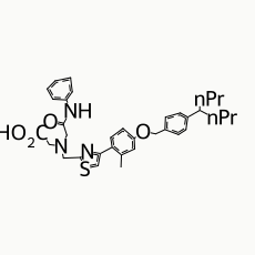 CCCC(CCC)c1ccc(COc2ccc(-c3csc(CN(CC(=O)O)CC(=O)Nc4ccccc4)n3)c(C)c2)cc1